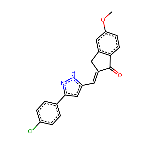 COc1ccc2c(c1)CC(=Cc1cc(-c3ccc(Cl)cc3)n[nH]1)C2=O